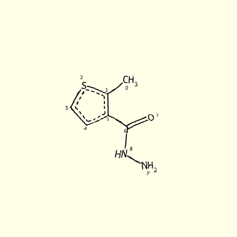 Cc1sccc1C(=O)NN